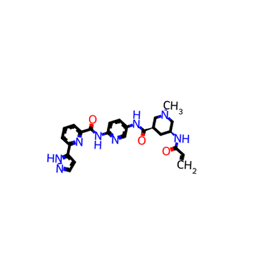 C=CC(=O)N[C@H]1C[C@@H](C(=O)Nc2ccc(NC(=O)c3cccc(-c4ccn[nH]4)n3)nc2)CN(C)C1